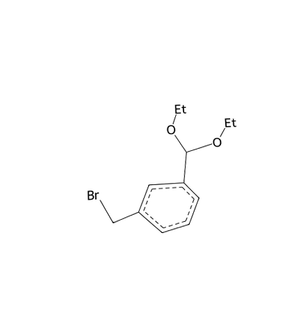 CCOC(OCC)c1cccc(CBr)c1